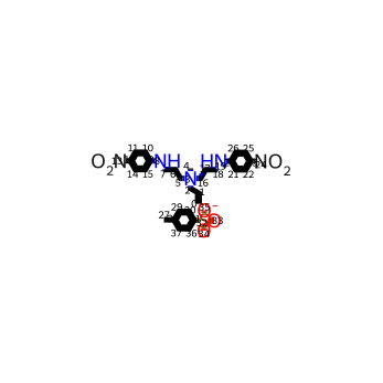 C=CC[N+](C)(CCCNc1ccc([N+](=O)[O-])cc1)CCCNc1ccc([N+](=O)[O-])cc1.Cc1ccc(S(=O)(=O)[O-])cc1